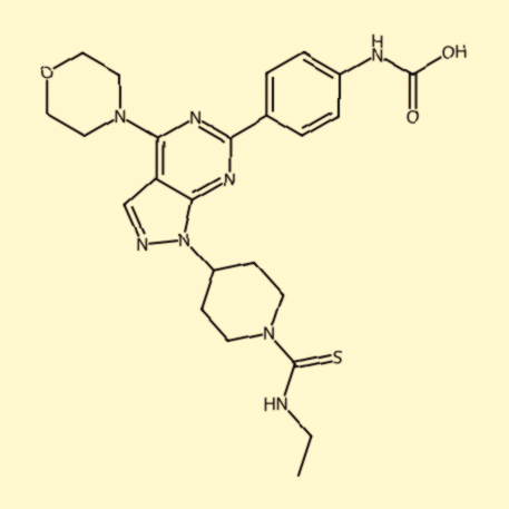 CCNC(=S)N1CCC(n2ncc3c(N4CCOCC4)nc(-c4ccc(NC(=O)O)cc4)nc32)CC1